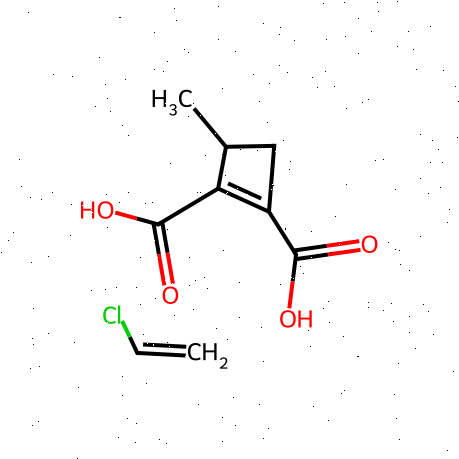 C=CCl.CC1CC(C(=O)O)=C1C(=O)O